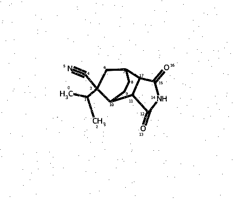 CC(C)C1(C#N)CC2CCC1C1C(=O)NC(=O)C21